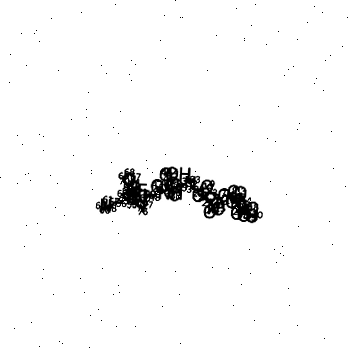 COc1cc(C(C)OC(=O)ON2C(=O)CC(S(=O)(=O)OC)C2=O)c([N+](=O)[O-])cc1OCCN(C)CCOC(=O)C(CS(=O)(=O)O)NC(=O)CCC1=[N+]2C(=Cc3c(CCC[N+](C)(C)C)cc(-c4ccccc4)n3[B-]2(F)F)C(C)=C1